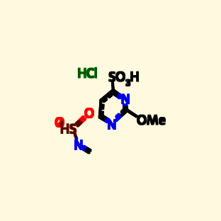 C=N[SH](=O)=O.COc1nccc(S(=O)(=O)O)n1.Cl